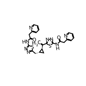 C=C(c1nnc(NC(=O)Cc2ccccn2)s1)[C@H]1C[C@@H]1Cc1nnc(NC(=O)Cc2ccccn2)s1